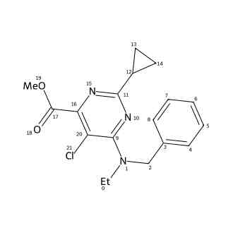 CCN(Cc1ccccc1)c1nc(C2CC2)nc(C(=O)OC)c1Cl